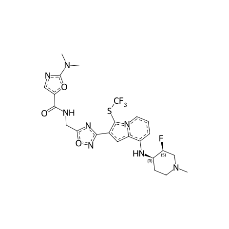 CN1CC[C@@H](Nc2cccn3c(SC(F)(F)F)c(-c4noc(CNC(=O)c5cnc(N(C)C)o5)n4)cc23)[C@@H](F)C1